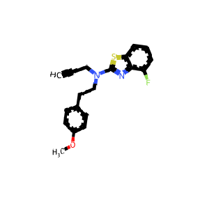 C#CCN(CCc1ccc(OC)cc1)c1nc2c(F)cccc2s1